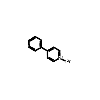 CC(C)[n+]1ccc(-c2ccccc2)cc1